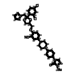 CCC(C)n1ncn(-c2ccc(N3CCN(c4ccc(OCC5COC(Cn6nccn6)(c6ccc(Cl)cc6Cl)O5)c(C#N)c4)CC3)cc2)c1=O